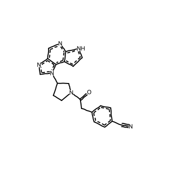 N#Cc1ccc(CC(=O)N2CCC(n3cnc4cnc5[nH]ccc5c43)C2)cc1